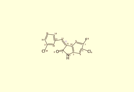 O=C1Nc2cc(Cl)c(F)cc2/C1=C/c1cccc(Cl)c1